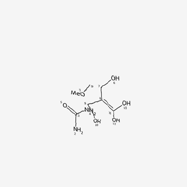 COC.NC(N)=O.OCC(CO)=C(O)O